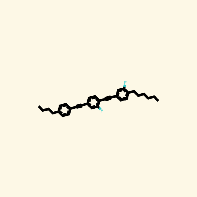 CCCCCCc1ccc(C#Cc2ccc(C#Cc3ccc(CCCC)cc3)cc2F)cc1F